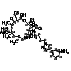 B[C@@H]1[C@@H](C)C(=O)[C@@H](CC#N)C(O)O[C@H](CC)[C@@]2(C)OC(=O)N(CCCCn3cc(-c4cccc(N)c4)nn3)[C@@H]2[C@@H](C)NC[C@H](C)C[C@@]1(C)OC